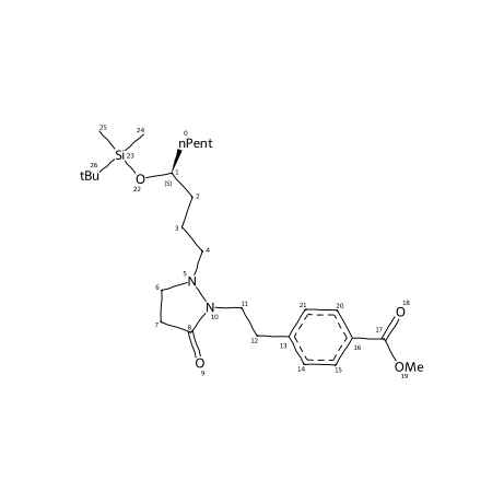 CCCCC[C@@H](CCCN1CCC(=O)N1CCc1ccc(C(=O)OC)cc1)O[Si](C)(C)C(C)(C)C